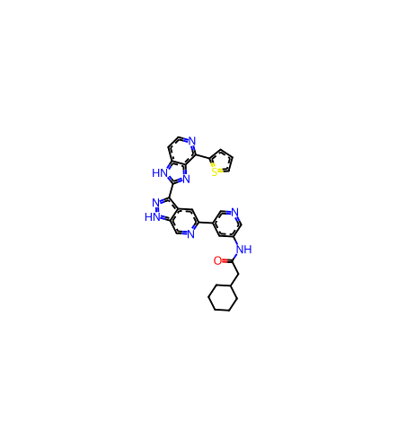 O=C(CC1CCCCC1)Nc1cncc(-c2cc3c(-c4nc5c(-c6cccs6)nccc5[nH]4)n[nH]c3cn2)c1